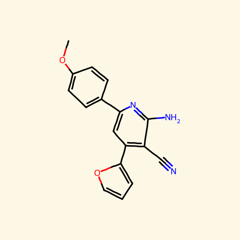 COc1ccc(-c2cc(-c3ccco3)c(C#N)c(N)n2)cc1